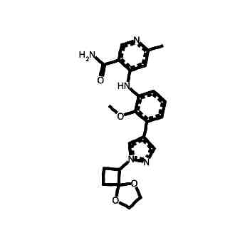 COc1c(Nc2cc(C)ncc2C(N)=O)cccc1-c1cnn(C2CCC23OCCO3)c1